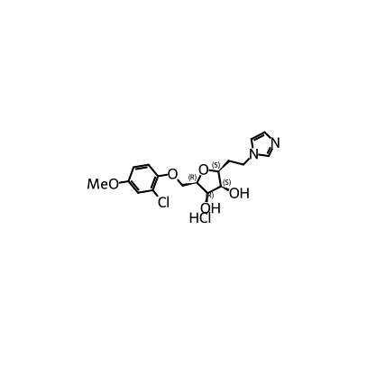 COc1ccc(OC[C@H]2O[C@@H](CCn3ccnc3)[C@@H](O)[C@H]2O)c(Cl)c1.Cl